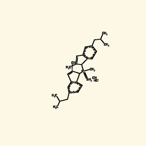 CC1=Cc2cc(CC(C)C)ccc2[CH]1[Zr]([CH3])(=[SiH2])[CH]1C(C)=Cc2cc(CC(C)C)ccc21.Cl.Cl